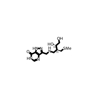 CSC[C@@H](CNCc1n[nH]c2c(=O)[nH]cnc12)[C@H](O)CO